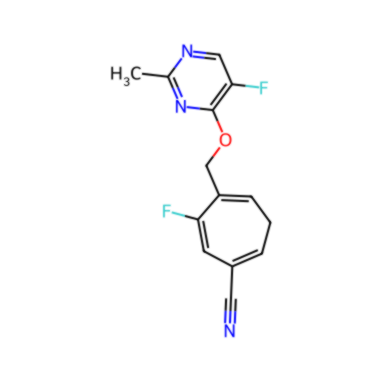 Cc1ncc(F)c(OCC2=CCC=C(C#N)C=C2F)n1